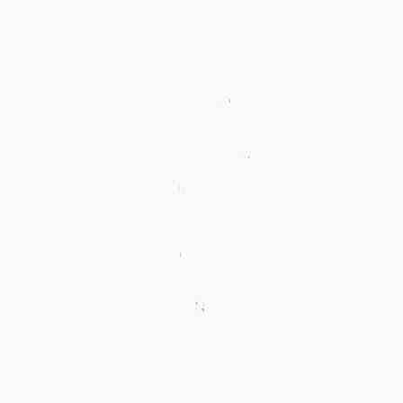 CCOC(=O)C(C)Oc1ccccc1Oc1ccccn1